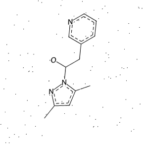 Cc1cc(C)n(C([O])Cc2cccnc2)n1